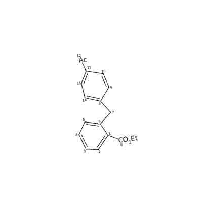 CCOC(=O)c1ccccc1Cc1ccc(C(C)=O)cc1